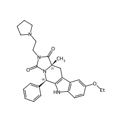 CCOc1ccc2[nH]c3c(c2c1)C[C@@]1(C)C(=O)N(CCN2CCCC2)C(=O)N1[C@@H]3c1ccccc1